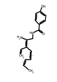 C=CC(/C=C\C=C/C)=C(\N)CNC(=O)c1ccc(O)cc1